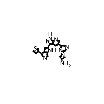 NC1CN(c2cncc(-c3cnc4[nH]nc(-c5cc6c(-c7ccsc7)cncc6[nH]5)c4c3)n2)C1